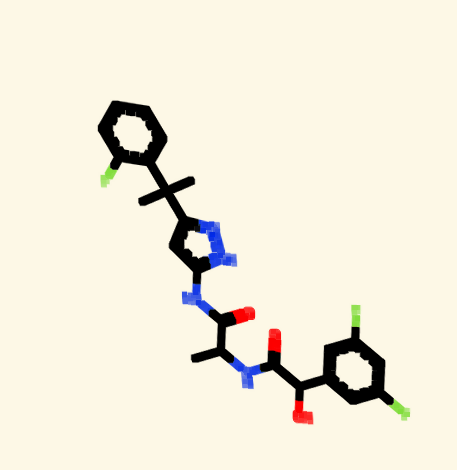 CC(NC(=O)C(O)c1cc(F)cc(F)c1)C(=O)Nc1cc(C(C)(C)c2ccccc2F)n[nH]1